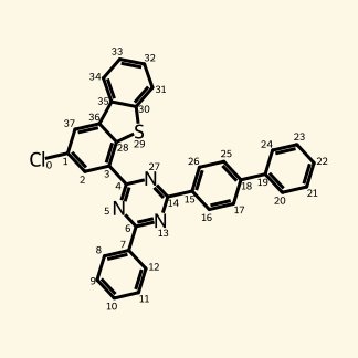 Clc1cc(-c2nc(-c3ccccc3)nc(-c3ccc(-c4ccccc4)cc3)n2)c2sc3ccccc3c2c1